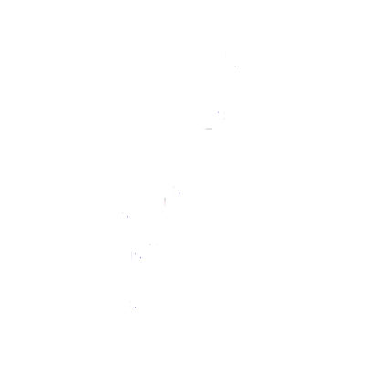 O=C1Nc2cc(Oc3cccc(NC(=O)c4cccc(C(F)(F)F)c4)c3)ccc2/C1=C/c1cc(C(=O)NCCCN2CCCC2)c[nH]1